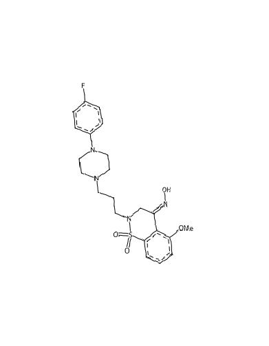 COc1cccc2c1C(=NO)CN(CCCN1CCN(c3ccc(F)cc3)CC1)S2(=O)=O